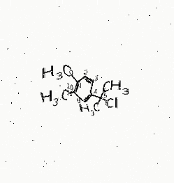 Cc1ccc(C(C)(C)Cl)cc1C